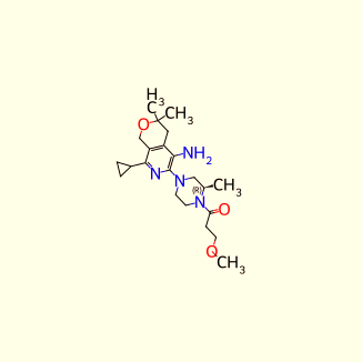 COCCC(=O)N1CCN(c2nc(C3CC3)c3c(c2N)CC(C)(C)OC3)C[C@H]1C